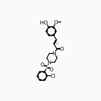 COc1cc(/C=C/C(=O)N2CCN(S(=O)(=O)c3ccccc3Cl)CC2)ccc1O